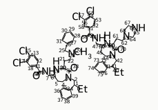 CCC(CN1CC[C@@H](CNC(=O)c2ccc(Cl)c(Cl)c2)N[C@@H](CCN(C)Cc2ccccc2)C1=O)c1ccccc1.CCC(CN1CC[C@@H](CNC(=O)c2ccc(Cl)c(Cl)c2)N[C@@H](CCN2CCNCC2)C1=O)c1ccccc1